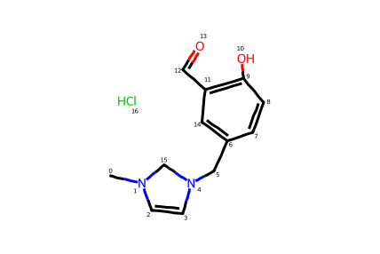 CN1C=CN(Cc2ccc(O)c(C=O)c2)C1.Cl